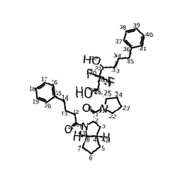 O=C([C@@H]1C[C@@H]2CCC[C@@H]2N1C(=O)CCCc1ccccc1)N1CCC[C@H]1C(O)C(F)(F)C(O)CCCc1ccccc1